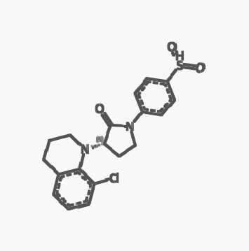 O=C1[C@@H](N2CCCc3cccc(Cl)c32)CCN1c1ccc([SH](=O)=O)cc1